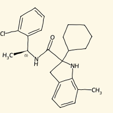 Cc1cccc2c1NC(C(=O)N[C@@H](C)c1ccccc1Cl)(C1CCCCC1)C2